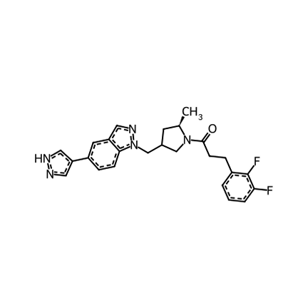 C[C@@H]1CC(Cn2ncc3cc(-c4cn[nH]c4)ccc32)CN1C(=O)CCc1cccc(F)c1F